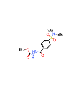 CCCCN(CCCC)S(=O)(=O)c1ccc(C(=O)NNC(=O)OC(C)(C)C)cc1